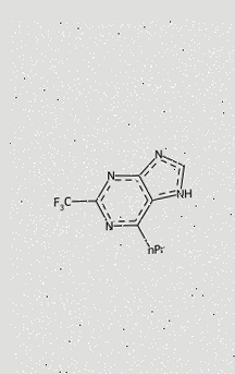 CCCc1nc(C(F)(F)F)nc2nc[nH]c12